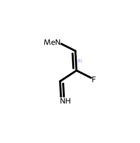 CN/C=C(/F)C=N